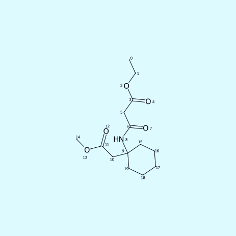 CCOC(=O)CC(=O)NC1(CC(=O)OC)CCCCC1